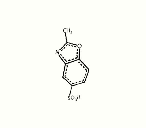 Cc1nc2cc(S(=O)(=O)O)ccc2o1